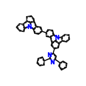 c1ccc(-c2cc(-c3cc4c5ccccc5n5c6ccc(-c7ccc8c(c7)c7cccc9c%10ccccc%10n8c97)cc6c(c3)c45)nc(-c3ccccc3)n2)cc1